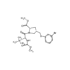 COC(=O)NC(C(=O)N1CC(COc2cccc(Br)c2)CC1C(=O)OC)C(C)(C)C